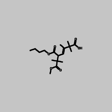 CCCCOC(=O)C(C=C(C)C(C)(C)C(=O)O)C(C)(C)C(=O)OC